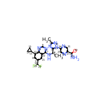 Cc1nc([C@H](C)Nc2ncnc3c(C4CC4)cc(C(F)F)cc23)n(-c2cnc(C(N)=O)cn2)n1